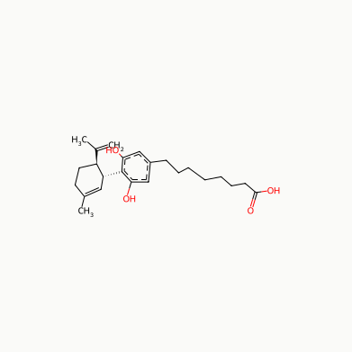 C=C(C)[C@@H]1CCC(C)=C[C@H]1c1c(O)cc(CCCCCCCC(=O)O)cc1O